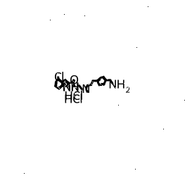 CN(CCCc1ccc(CN)cc1)CCNC(=O)c1cc2c(Cl)cccc2[nH]1.Cl.Cl